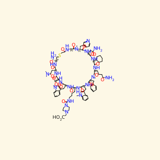 C[C@H]1NC(=O)CSC[C@@H](C(N)=O)NC(=O)[C@H](CC(=O)N(C)C)NC(=O)[C@H]([C@@H](C)O)NC(=O)[C@H](Cc2cn(C)c3ccccc23)NC(=O)[C@H](CCCCNC(=O)N2CCN(CC(=O)O)CC2)NC(=O)[C@H](Cc2cn(C)c3ccccc23)NC(=O)[C@H](Cc2ccccc2)N(C)C(=O)[C@H](CCCC(N)=O)NC(=O)[C@H](C2CCCCC2)NC(=O)[C@H](CC(N)=O)NC(=O)[C@H](Cc2cccnc2)N(C)C1=O